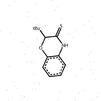 CC(C)(C)C1Oc2ccccc2NC1=S